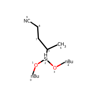 CCCCO[SiH](OCCCC)C(C)CCC#N